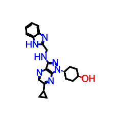 O[C@H]1CC[C@H](n2nc(NCc3nc4ccccc4[nH]3)c3ncc(C4CC4)nc32)CC1